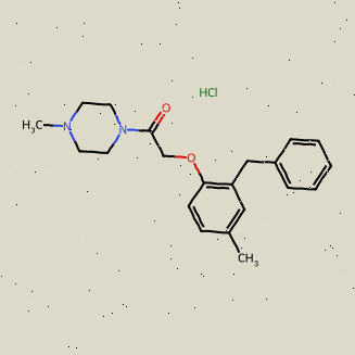 Cc1ccc(OCC(=O)N2CCN(C)CC2)c(Cc2ccccc2)c1.Cl